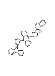 c1cc(-c2c3ccccc3c(-c3ccc4oc5c6ccccc6ccc5c4c3)c3ccccc23)cc(-n2c3ccccc3c3ccccc32)c1